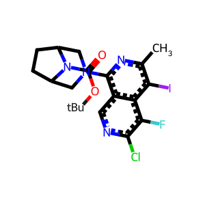 Cc1nc(N2CC3CCC(C2)N3C(=O)OC(C)(C)C)c2cnc(Cl)c(F)c2c1I